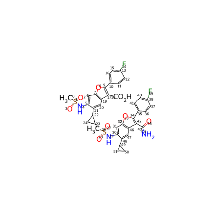 CS(=O)(=O)Nc1cc2oc(-c3ccc(F)cc3)c(C(=O)O)c2cc1C1CC1.CS(=O)(=O)Nc1cc2oc(-c3ccc(F)cc3)c(C(N)=O)c2cc1C1CC1